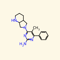 Cc1c(-c2ccccc2)nc(N)nc1N1CC2CCCNC2C1